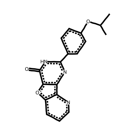 CC(C)Oc1ccc(-c2nc3c(oc4cccnc43)c(=O)[nH]2)cc1